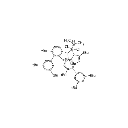 C[SiH](C)[Zr]([Cl])([Cl])([CH]1C(C(C)(C)C)=Cc2c1ccc(C(C)(C)C)c2-c1cc(C(C)(C)C)cc(C(C)(C)C)c1)[CH]1C(C(C)(C)C)=Cc2c1ccc(C(C)(C)C)c2-c1cc(C(C)(C)C)cc(C(C)(C)C)c1